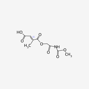 COC(=O)NC(=O)COC(=O)/C(C)=C/C(=O)O